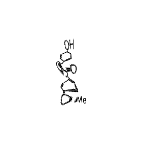 COc1ccc(S(=O)(=O)C2=CCC(O)C=C2)cc1